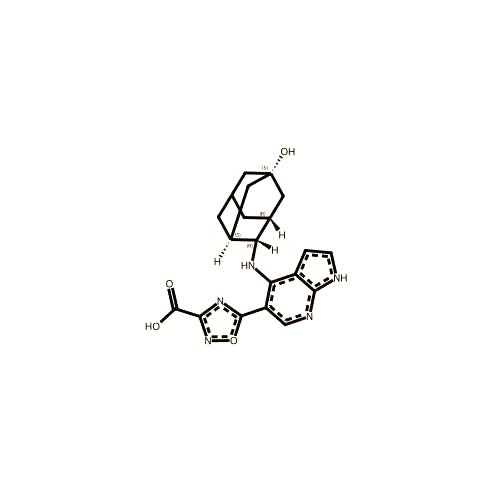 O=C(O)c1noc(-c2cnc3[nH]ccc3c2N[C@H]2[C@@H]3CC4C[C@H]2C[C@@](O)(C4)C3)n1